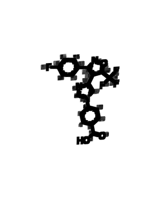 O=C(O)c1ccc(-n2cnc(-c3c(-c4ccc(F)cc4)noc3C(F)(F)F)c2)cc1